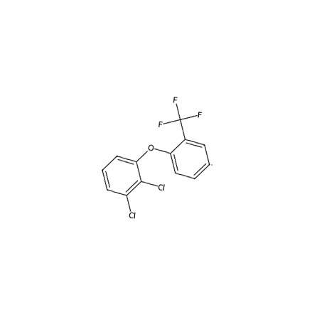 FC(F)(F)c1c[c]ccc1Oc1cccc(Cl)c1Cl